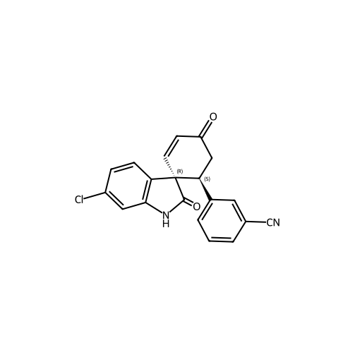 N#Cc1cccc([C@@H]2CC(=O)C=C[C@@]23C(=O)Nc2cc(Cl)ccc23)c1